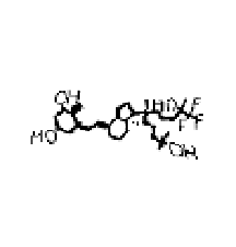 C=C1/C(=C\C=C2/CCC[C@@]3(C)C2CCC3[C@](C)(C/C=C\C(C)(O)C(F)(F)F)CCCC(C)(C)O)CC(O)C[C@@H]1O